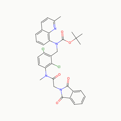 Cc1ccc2cccc(N(Cc3c(Cl)ccc(N(C)C(=O)CN4C(=O)c5ccccc5C4=O)c3Cl)C(=O)OC(C)(C)C)c2n1